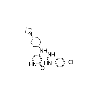 N=C(Nc1ccc(Cl)cc1)c1c(NC2CCC(N3CCC3)CC2)cc[nH]c1=O